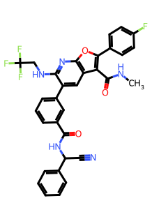 CNC(=O)c1c(-c2ccc(F)cc2)oc2nc(NCC(F)(F)F)c(-c3cccc(C(=O)NC(C#N)c4ccccc4)c3)cc12